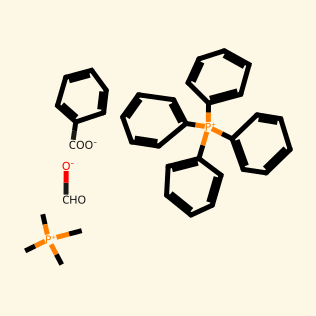 C[P+](C)(C)C.O=C([O-])c1ccccc1.O=C[O-].c1ccc([P+](c2ccccc2)(c2ccccc2)c2ccccc2)cc1